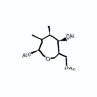 CC(=O)OCC1O[C@@H](OC(C)=O)C(C)[C@@H](C)[C@H]1OC(C)=O